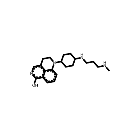 CNCCCNC1CCC(N2CCc3cnc(O)c4cccc2c34)CC1